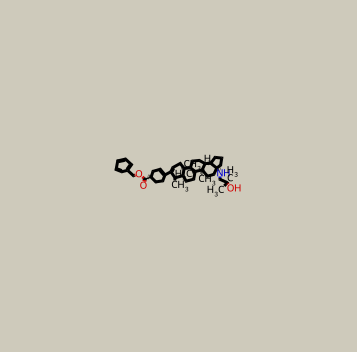 CC1C(C2=CC[C@H](C(=O)OCc3ccccc3)CC2)=CC[C@@]2(C)C1CCC1(C)C2CCC2[C@H]3CCC[C@]3(NCC(C)(C)O)CC[C@]21C